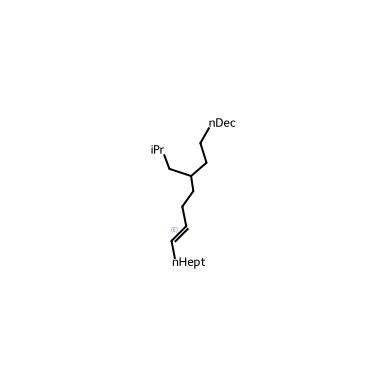 [CH2]CCCCCC/C=C/CCC(CCCCCCCCCCC[CH2])CC(C)C